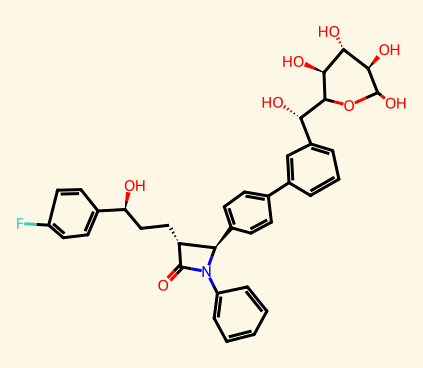 O=C1[C@H](CC[C@H](O)c2ccc(F)cc2)[C@@H](c2ccc(-c3cccc([C@H](O)C4OC(O)[C@H](O)[C@@H](O)[C@@H]4O)c3)cc2)N1c1ccccc1